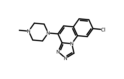 CN1CCN(c2cc3ccc(Cl)cc3n3cnnc23)CC1